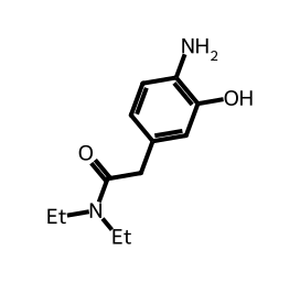 CCN(CC)C(=O)Cc1ccc(N)c(O)c1